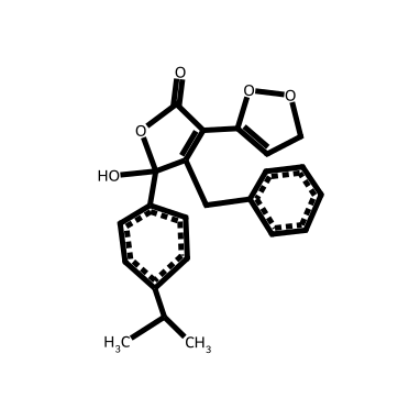 CC(C)c1ccc(C2(O)OC(=O)C(C3=CCOO3)=C2Cc2ccccc2)cc1